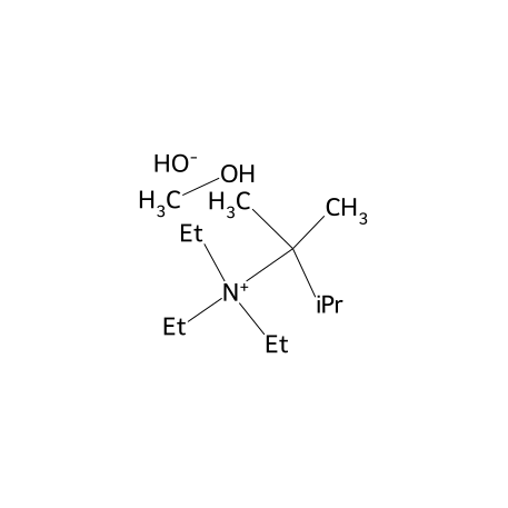 CC[N+](CC)(CC)C(C)(C)C(C)C.CO.[OH-]